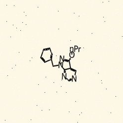 CCCOc1nn(Cc2ccccc2)c2ncncc12